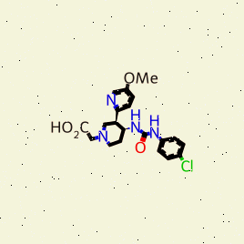 COc1ccc([C@@H]2CN(CC(=O)O)CC[C@H]2NC(=O)Nc2ccc(Cl)cc2)nc1